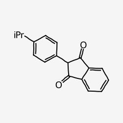 CC(C)c1ccc(C2C(=O)c3ccccc3C2=O)cc1